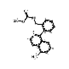 CC(C)(C)OC(=O)NCc1ccccc1-c1nccc2c(N)cccc12